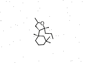 CCC[C@@]1(C)OC(C)C[C@@H]1[C@@]1(C)CCCC(C)(C)C1